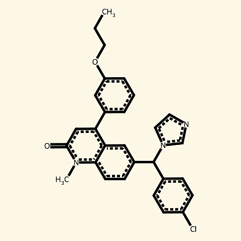 CCCOc1cccc(-c2cc(=O)n(C)c3ccc(C(c4ccc(Cl)cc4)n4ccnc4)cc23)c1